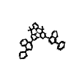 CC1(C)c2cccc3c2-n2c4c1cc(-c1ccc(-c5ccccc5)c5c1C=CCC5)cc4c1cc(-c4ccc(C5=CCCC=C5)c5ccccc45)cc(c12)C3(C)C